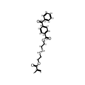 C=C(C)C(=O)OCCSSCCOC(=O)c1ccc(C(=O)c2ccccc2)cc1